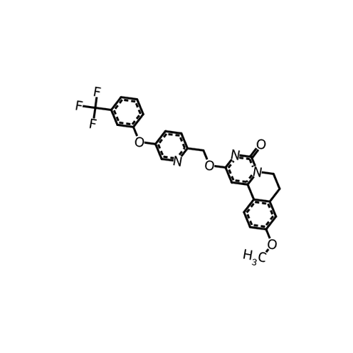 COc1ccc2c(c1)CCn1c-2cc(OCc2ccc(Oc3cccc(C(F)(F)F)c3)cn2)nc1=O